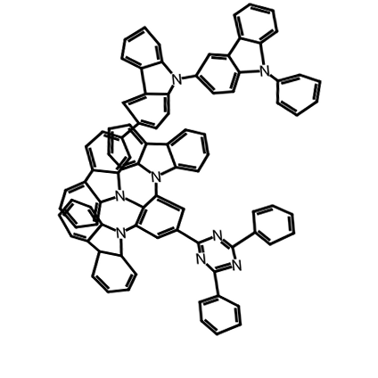 C1=CC2c3ccccc3N(c3cc(-c4nc(-c5ccccc5)nc(-c5ccccc5)n4)cc(-n4c5ccccc5c5ccccc54)c3-n3c4ccccc4c4ccc(-c5ccc6c(c5)c5ccccc5n6-c5ccc6c(c5)c5ccccc5n6-c5ccccc5)cc43)C2C=C1